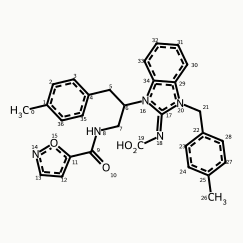 Cc1ccc(CC(CNC(=O)c2ccno2)n2c(=NC(=O)O)n(Cc3ccc(C)cc3)c3ccccc32)cc1